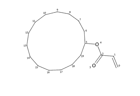 C=CC(=O)OC1CCCCCCCCCCCCCC1